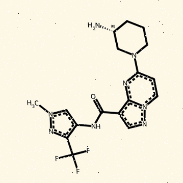 Cn1cc(NC(=O)c2cnn3ccc(N4CCC[C@@H](N)C4)nc23)c(C(F)(F)F)n1